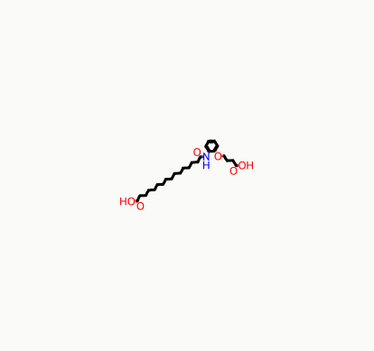 O=C(O)CCCCCCCCCCCCCCC(=O)Nc1ccccc1OCCCC(=O)O